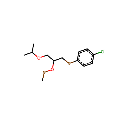 CSOC(COC(C)C)CSc1ccc(Cl)cc1